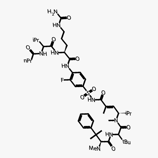 CCCC(=O)NC(C(=O)N[C@@H](CCCNC(N)=O)C(=O)Nc1ccc(S(=O)(=O)NC(=O)/C(C)=C/[C@H](C(C)C)N(C)C(=O)C(NC(=O)[C@@H](NC)C(C)(C)c2ccccc2)C(C)(C)C)cc1F)C(C)C